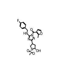 Cc1occc1C(=O)n1nc(C2CC(O)N(S(C)(=O)=O)C2)nc1NCc1ccc(F)cc1